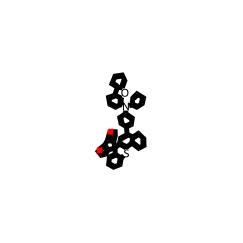 c1ccc(N(c2ccc(-c3cc4c(c5ccccc35)Sc3ccccc3C43c4ccccc4-c4ccccc43)cc2)c2cccc3c2oc2ccccc23)cc1